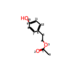 CC(=O)OCCc1ccc(O)cc1